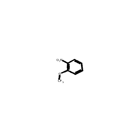 O=[N+]([O-])c1ccc[c]c1OC(F)(F)F